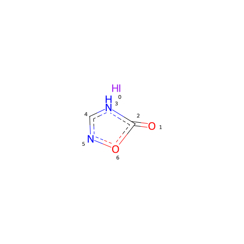 I.O=c1[nH]cno1